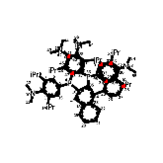 CC(C)c1cc(P(c2cc(C(C)C)c(N(C)C)c(C(C)C)c2)c2cc3ccccc3c(-c3cccc4ccccc34)c2P(c2cc(C(C)C)c(N(C)C)c(C(C)C)c2)c2cc(C(C)C)c(N(C)C)c(C(C)C)c2)cc(C(C)C)c1N(C)C